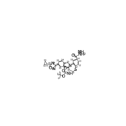 CC(C)(C)OC(=O)N[C@H]1CSc2ccc(C(=O)NN)cc2N(Cc2ccc(-c3noc(C4CC4)n3)cc2)C1=O